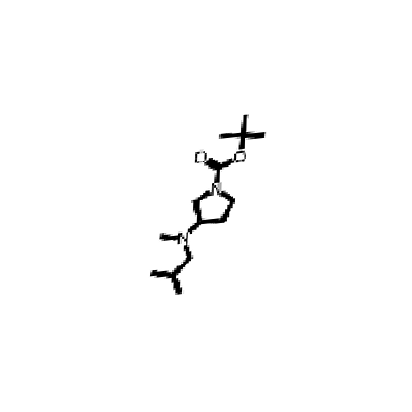 CC(C)CN(C)C1CCN(C(=O)OC(C)(C)C)C1